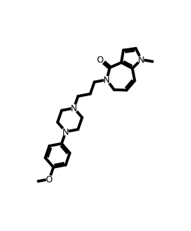 COc1ccc(N2CCN(CCCN3CC=Cc4c(ccn4C)C3=O)CC2)cc1